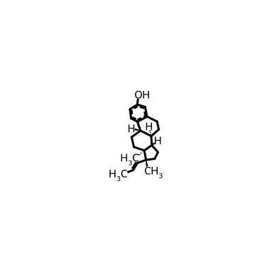 C/C=C/[C@@]1(C)CC[C@H]2[C@@H]3CCc4cc(O)ccc4[C@H]3CC[C@@]21C